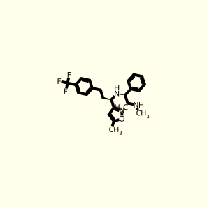 C=C(NC)[C@H](N[C@H](CCc1ccc(C(F)(F)F)cc1)c1cc(C)on1)c1ccccc1